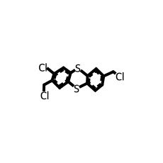 ClCc1ccc2c(c1)Sc1cc(Cl)c(CCl)cc1S2